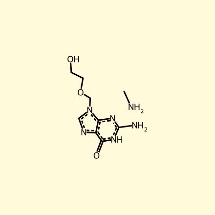 CN.Nc1nc2c(ncn2COCCO)c(=O)[nH]1